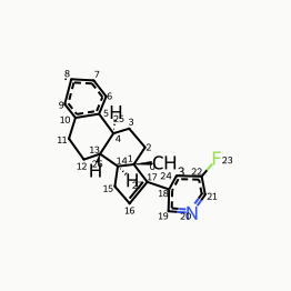 C[C@]12CC[C@@H]3c4cc[c]cc4CC[C@H]3[C@@H]1CC=C2c1cncc(F)c1